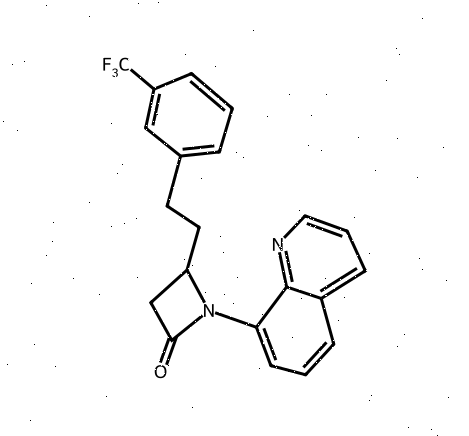 O=C1CC(CCc2cccc(C(F)(F)F)c2)N1c1cccc2cccnc12